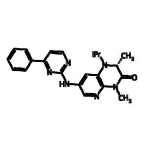 CC(C)N1c2cc(Nc3nccc(-c4ccccc4)n3)cnc2N(C)C(=O)[C@H]1C